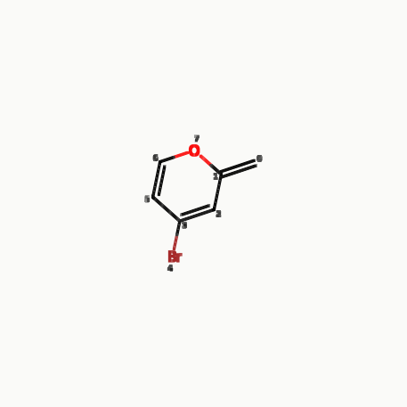 C=C1C=C(Br)C=CO1